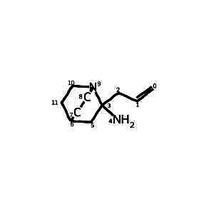 C=CCC1(N)CC2CCN1CC2